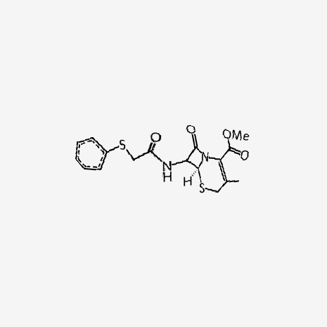 COC(=O)C1=C(C)CS[C@H]2C(NC(=O)CSc3ccccc3)C(=O)N12